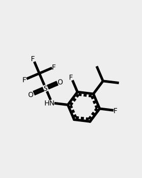 CC(C)c1c(F)ccc(NS(=O)(=O)C(F)(F)F)c1F